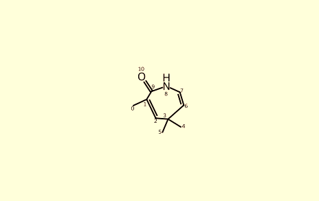 CC1=CC(C)(C)C=CNC1=O